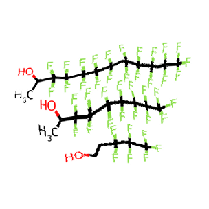 CC(O)C(F)(F)C(F)(F)C(F)(F)C(F)(F)C(F)(F)C(F)(F)C(F)(F)C(F)(F)C(F)(F)C(F)(F)F.CC(O)C(F)(F)C(F)(F)C(F)(F)C(F)(F)C(F)(F)C(F)(F)C(F)(F)F.OCCC(F)(F)C(F)(F)C(F)(F)F